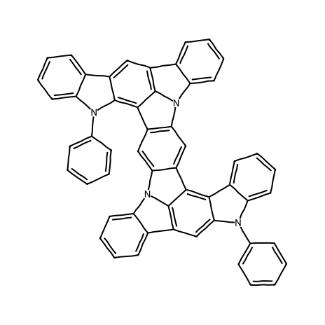 c1ccc(-n2c3ccccc3c3c4c5cc6c(cc5n5c7ccccc7c(cc32)c45)c2c3c(cc4c5ccccc5n6c42)c2ccccc2n3-c2ccccc2)cc1